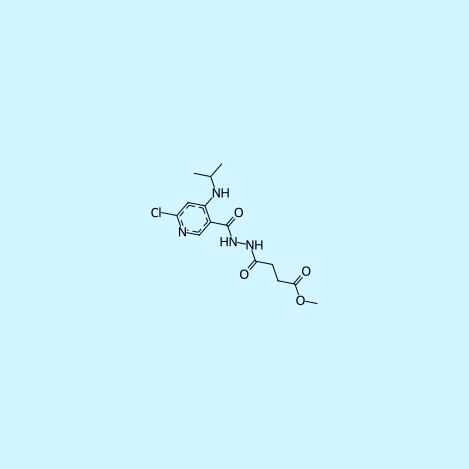 COC(=O)CCC(=O)NNC(=O)c1cnc(Cl)cc1NC(C)C